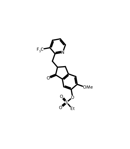 CCS(=O)(=O)Oc1cc2c(cc1OC)CC(Cc1ncccc1C(F)(F)F)C2=O